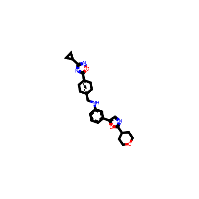 c1cc(NCC23CCC(c4nc(C5CC5)no4)(CC2)CC3)cc(-c2cnc(C3CCOCC3)o2)c1